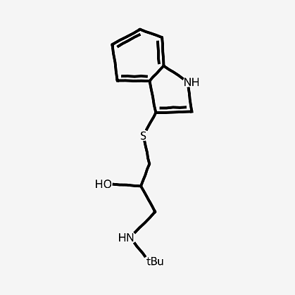 CC(C)(C)NCC(O)CSc1c[nH]c2ccccc12